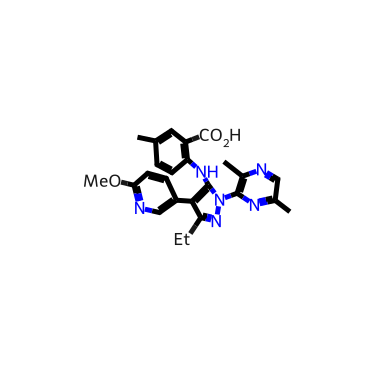 CCc1nn(-c2nc(C)cnc2C)c(Nc2ccc(C)cc2C(=O)O)c1-c1ccc(OC)nc1